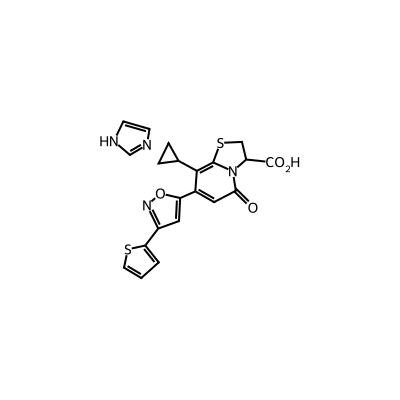 O=C(O)C1CSc2c(C3CC3)c(-c3cc(-c4cccs4)no3)cc(=O)n21.c1c[nH]cn1